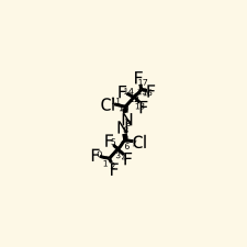 FC(F)C(F)(F)C(Cl)=NN=C(Cl)C(F)(F)C(F)F